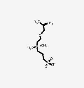 C=C(C)COCC[N+](C)(C)CCCS(=O)(=O)[O-]